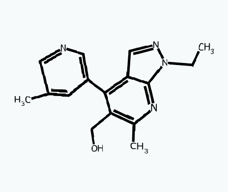 CCn1ncc2c(-c3cncc(C)c3)c(CO)c(C)nc21